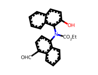 CCOC(=O)N(c1c(O)ccc2ccccc12)c1ccc(C=O)c2ccccc12